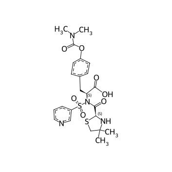 CN(C)C(=O)Oc1ccc(C[C@@H](C(=O)O)N(C(=O)[C@H]2NC(C)(C)CS2)S(=O)(=O)c2cccnc2)cc1